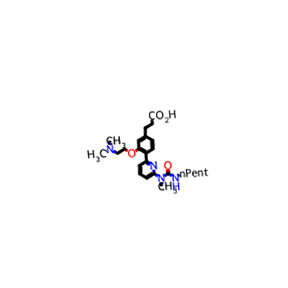 CCCCCNC(=O)N(C)c1cccc(-c2ccc(CCC(=O)O)cc2OCCN(C)C)n1